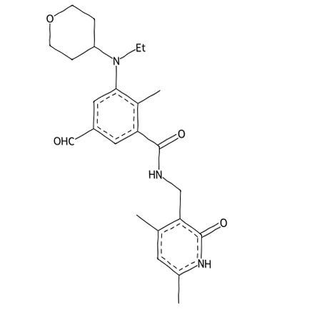 CCN(c1cc(C=O)cc(C(=O)NCc2c(C)cc(C)[nH]c2=O)c1C)C1CCOCC1